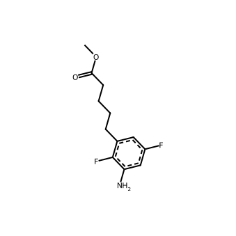 COC(=O)CCCCc1cc(F)cc(N)c1F